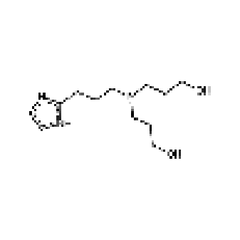 OCCCP(CCCO)CCCc1ncc[nH]1